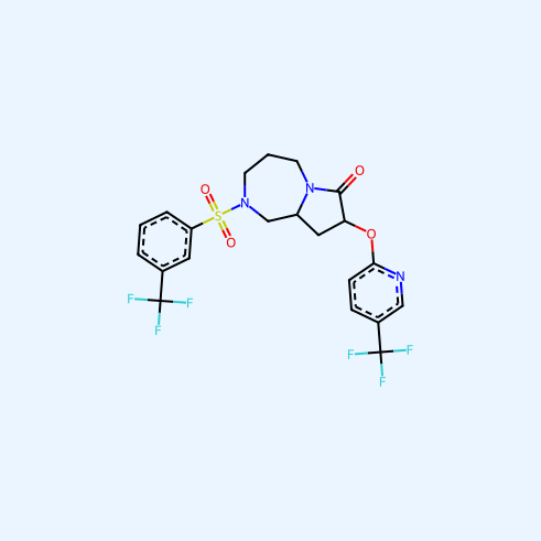 O=C1C(Oc2ccc(C(F)(F)F)cn2)CC2CN(S(=O)(=O)c3cccc(C(F)(F)F)c3)CCCN12